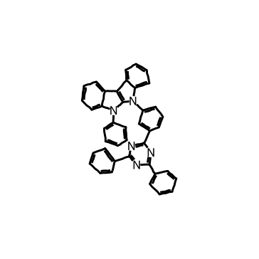 c1ccc(-c2nc(-c3ccccc3)nc(-c3cccc(-n4c5ccccc5c5c6ccccc6n(-c6ccccc6)c54)c3)n2)cc1